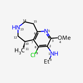 CCNc1c(OC)nc2c(c1Cl)[C@@H](C)CNCC2